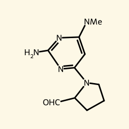 CNc1cc(N2CCCC2C=O)nc(N)n1